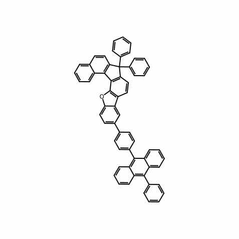 c1ccc(-c2c3ccccc3c(-c3ccc(-c4ccc5oc6c7c(ccc6c5c4)C(c4ccccc4)(c4ccccc4)c4ccc5ccccc5c4-7)cc3)c3ccccc23)cc1